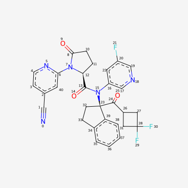 N#Cc1ccnc(N2C(=O)CC[C@H]2C(=O)N(c2cncc(F)c2)[C@]2(C(=O)C3CC(F)(F)C3)CCc3ccccc32)c1